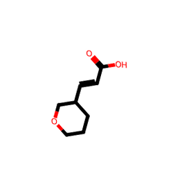 O=C(O)C=CC1CCCOC1